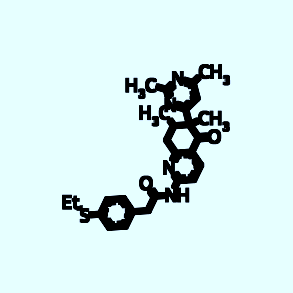 CCSc1ccc(CC(=O)Nc2ccc3c(n2)CC(C)C(C)(c2cc(C)nc(C)n2)C3=O)cc1